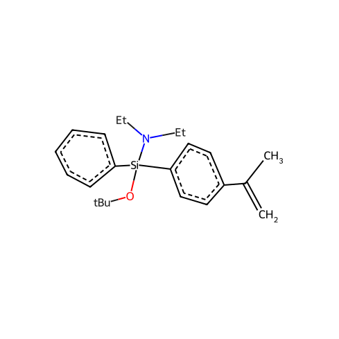 C=C(C)c1ccc([Si](OC(C)(C)C)(c2ccccc2)N(CC)CC)cc1